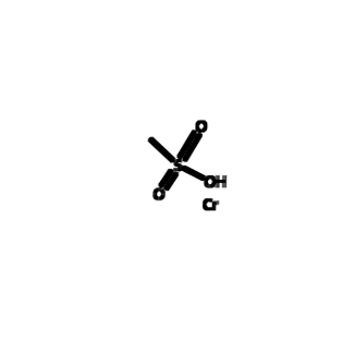 CS(=O)(=O)O.[Cr]